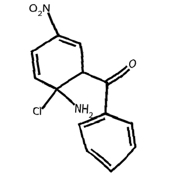 NC1(Cl)C=CC([N+](=O)[O-])=CC1C(=O)c1ccccc1